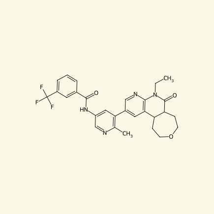 CCN1C(=O)C2CCOCCC2c2cc(-c3cc(NC(=O)c4cccc(C(F)(F)F)c4)cnc3C)cnc21